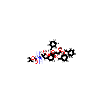 CC(C)(C)OC(=O)NNC(C)(Cc1ccc(OCc2ccccc2)c(OCc2ccccc2)c1)C(=O)OCCCCC(=O)OCc1ccccc1